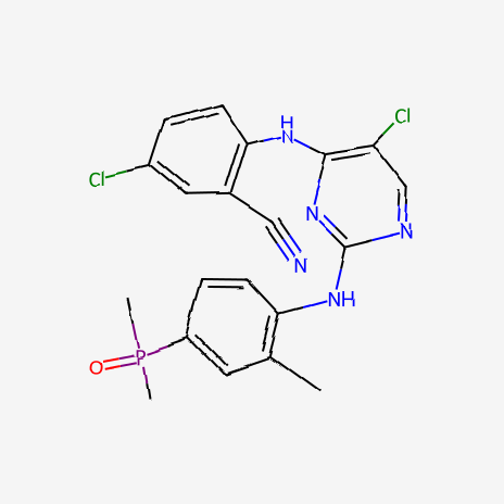 Cc1cc(P(C)(C)=O)ccc1Nc1ncc(Cl)c(Nc2ccc(Cl)cc2C#N)n1